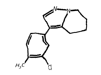 Cc1ccc(-c2cnn3c2CCCC3)cc1Cl